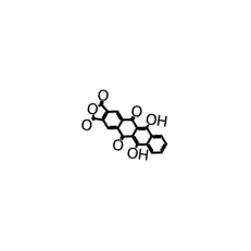 O=c1oc(=O)c2cc3c(=O)c4c(O)c5ccccc5c(O)c4c(=O)c3cc12